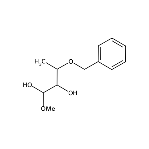 COC(O)C(O)C(C)OCc1ccccc1